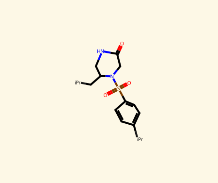 CC(C)CC1CNC(=O)CN1S(=O)(=O)c1ccc(C(C)C)cc1